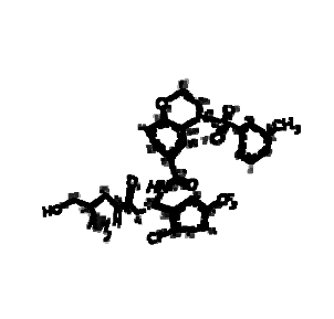 Cc1cccc(S(=O)(=O)N2CCOc3ccc(C(=O)N[C@@H](CC(=O)NC[C@@H](N)CO)c4cc(C(F)(F)F)ccc4Cl)cc32)c1